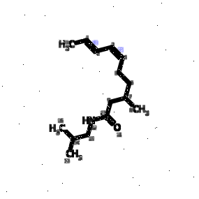 C/C=C/C=C\CCC(C)CC(=O)NCC(C)C